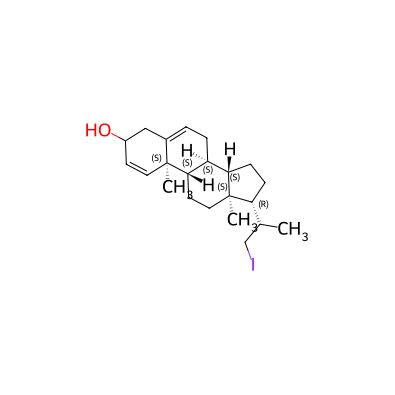 CC(CI)[C@H]1CC[C@H]2[C@@H]3CC=C4CC(O)C=C[C@]4(C)[C@H]3CC[C@]12C